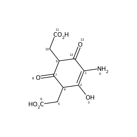 NC1=C(O)C(CC(=O)O)C(=O)C(CC(=O)O)C1=O